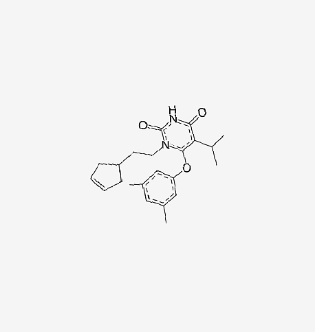 Cc1cc(C)cc(Oc2c(C(C)C)c(=O)[nH]c(=O)n2CCC2CC=CC2)c1